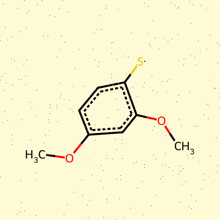 COc1ccc([S])c(OC)c1